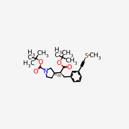 CSC#Cc1cccc(C[C@H](C(=O)OC(C)(C)C)[C@H]2CCN(C(=O)OC(C)(C)C)C2)c1